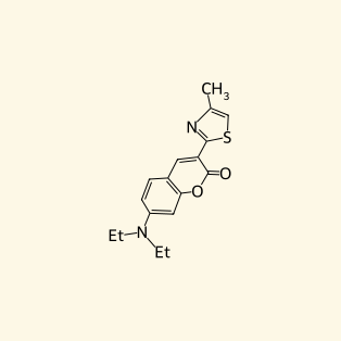 CCN(CC)c1ccc2cc(-c3nc(C)cs3)c(=O)oc2c1